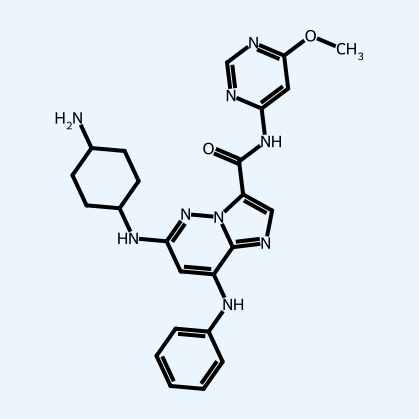 COc1cc(NC(=O)c2cnc3c(Nc4ccccc4)cc(NC4CCC(N)CC4)nn23)ncn1